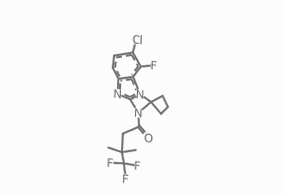 CC(C)(CC(=O)N1c2nc3ccc(Cl)c(F)c3n2C12CCC2)C(F)(F)F